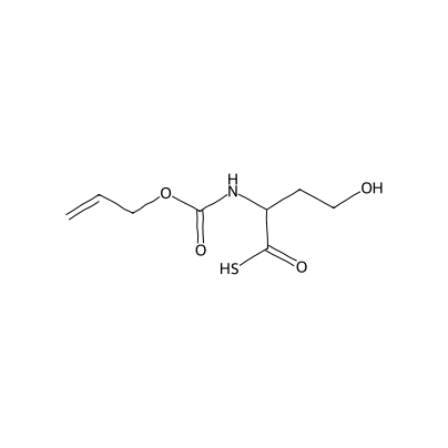 C=CCOC(=O)NC(CCO)C(=O)S